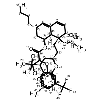 CCCC[C@@H]1C=C2C=C[C@H](C)[C@](CC[C@@H]3C[C@H](C(C)(C)C)C(O[SiH](C)C)C(=O)O3)(O[SiH](C)C)[C@H]2[C@@H](OC(=O)C(CC)Oc2cccc(C(F)(F)F)c2)C1